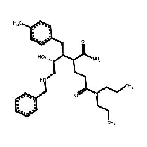 CCCN(CCC)C(=O)CCC(C(N)=O)[C@H](Cc1ccc(C)cc1)[C@@H](O)CNCc1ccccc1